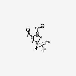 O=C[C@@H]1C[C@@H](C(F)(F)F)CN1C=O